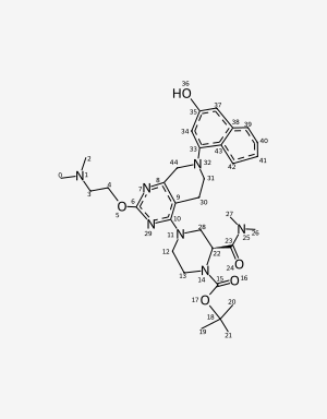 CN(C)CCOc1nc2c(c(N3CCN(C(=O)OC(C)(C)C)[C@H](C(=O)N(C)C)C3)n1)CCN(c1cc(O)cc3ccccc13)C2